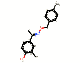 C/C(=N\OCc1ccc([N+](=O)[O-])cc1)c1ccc(O)c(C)c1